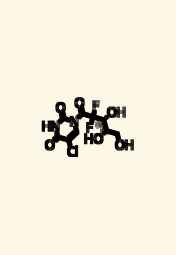 O=C(n1cc(Cl)c(=O)[nH]c1=O)C(F)(F)[C@@H](O)[C@H](O)CO